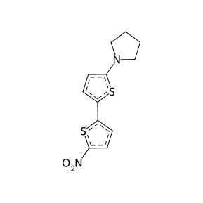 O=[N+]([O-])c1ccc(-c2ccc(N3CCCC3)s2)s1